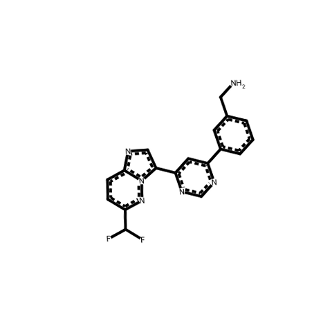 NCc1cccc(-c2cc(-c3cnc4ccc(C(F)F)nn34)ncn2)c1